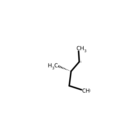 [CH]C[C@H](C)[C]C